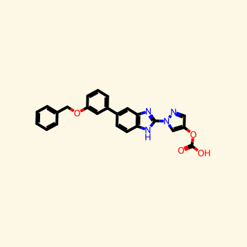 O=C(O)Oc1cnn(-c2nc3cc(-c4cccc(OCc5ccccc5)c4)ccc3[nH]2)c1